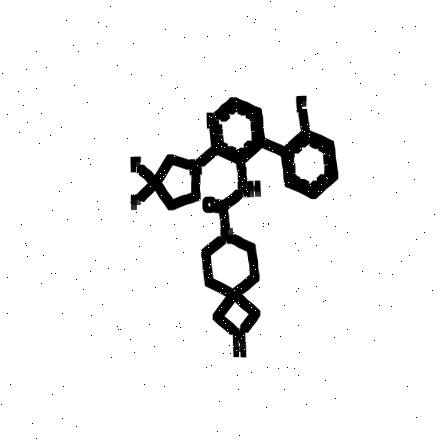 O=C(Nc1c(-c2ccccc2F)ccnc1N1CCC(F)(F)C1)N1CCC2(CC1)CNC2